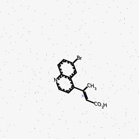 C/C(=C\C(=O)O)c1ccnc2ccc(Br)cc12